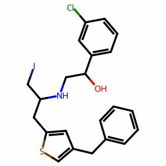 OC(CNC(CI)Cc1cc(Cc2ccccc2)cs1)c1cccc(Cl)c1